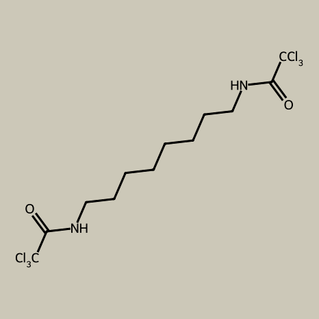 O=C(NCCCCCCCCNC(=O)C(Cl)(Cl)Cl)C(Cl)(Cl)Cl